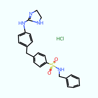 Cl.O=S(=O)(NCc1ccccc1)c1ccc(Cc2ccc(NC3=NCCN3)cc2)cc1